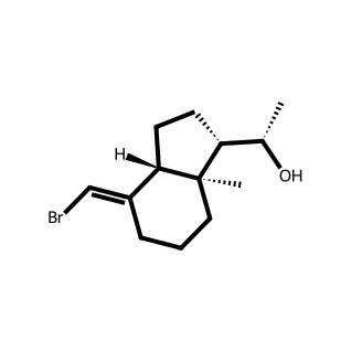 C[C@H](O)[C@H]1CC[C@H]2/C(=C/Br)CCC[C@]12C